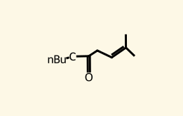 CCCCCC(=O)CC=C(C)C